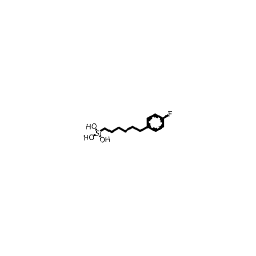 O[Si](O)(O)CCCCCCc1ccc(F)cc1